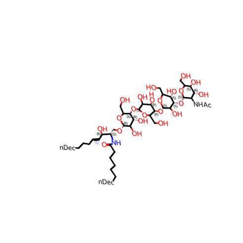 CCCCCCCCCCCCC/C=C/[C@@H](O)[C@H](CO[C@@H]1OC(CO)[C@@H](O[C@@H]2OC(CO)[C@H](O[C@@H]3OC(CO)[C@H](O)[C@H](O[C@@H]4OC(CO)[C@@H](O)[C@H](O)C4NC(C)=O)C3O)[C@H](O)C2O)[C@H](O)C1O)NC(=O)CCCCCCCCCCCCCCC